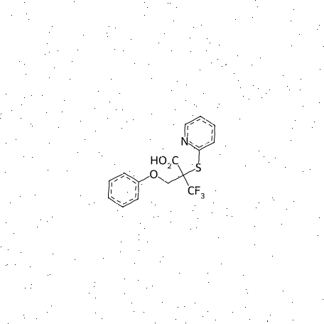 O=C(O)C(COc1ccccc1)(Sc1ccccn1)C(F)(F)F